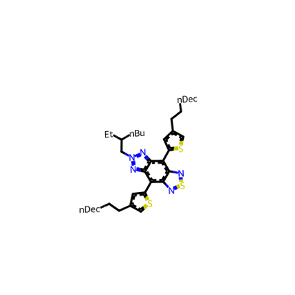 CCCCCCCCCCCCc1csc(-c2c3c(c(-c4cc(CCCCCCCCCCCC)cs4)c4nn(CC(CC)CCCC)nc24)N=S=N3)c1